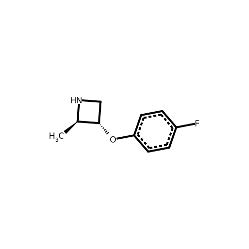 C[C@H]1NC[C@@H]1Oc1ccc(F)cc1